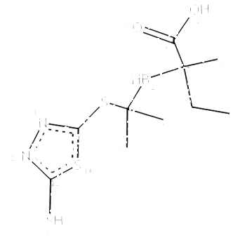 CCC(C)(BC(C)(C)Sc1nnc(S)s1)C(=O)O